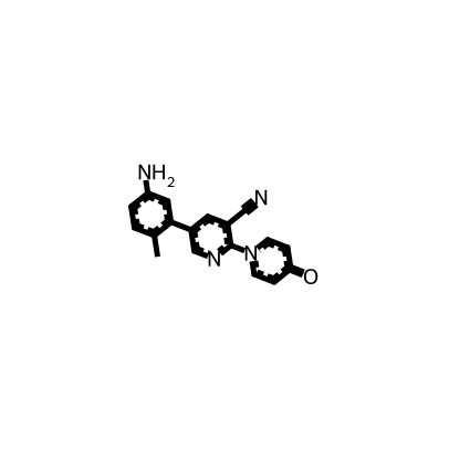 Cc1ccc(N)cc1-c1cnc(-n2ccc(=O)cc2)c(C#N)c1